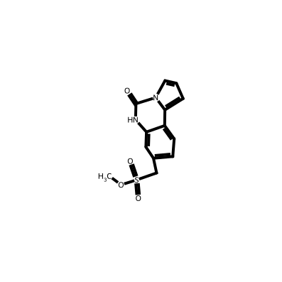 COS(=O)(=O)Cc1ccc2c(c1)[nH]c(=O)n1cccc21